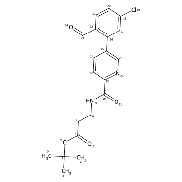 CC(C)(C)OC(=O)CCNC(=O)c1ccc(-c2cc(Cl)ccc2C=O)cn1